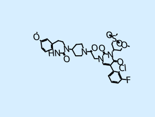 COCC(CS(C)(=O)=O)n1c(=O)c(-c2cccc(F)c2Cl)cn(CC(=O)N2CCC(N3CCc4cc(OC)ccc4NC3=O)CC2)c1=O